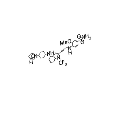 COc1cc(S(N)(=O)=O)ccc1NCC#Cc1cc2c(NC3CCC(N4CC5C[C@@H](C4)O5)CC3)cccc2n1CC(F)(F)F